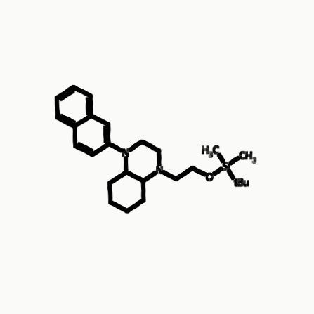 CC(C)(C)[Si](C)(C)OCCN1CCN(c2ccc3ccccc3c2)C2CCCCC21